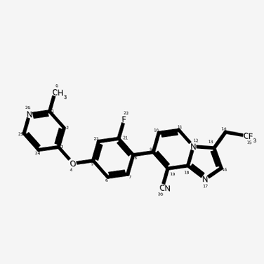 Cc1cc(Oc2ccc(-c3ccn4c(CC(F)(F)F)cnc4c3C#N)c(F)c2)ccn1